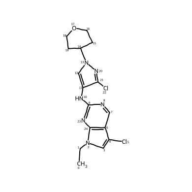 CCn1cc(Cl)c2cnc(Nc3cn(C4CCOCC4)nc3Cl)nc21